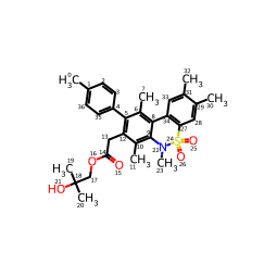 Cc1ccc(-c2c(C)c3c(c(C)c2CC(=O)OCC(C)(C)O)N(C)S(=O)(=O)c2cc(C)c(C)cc2-3)cc1